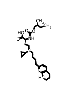 CC[C@H](C)COC(=O)N[C@@H](CCN(CCCCc1ccc2c(n1)NCCC2)C1CC1)C(=O)O